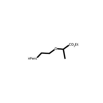 CCCCCCCOC(C)C(=O)OCC